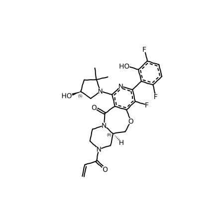 C=CC(=O)N1CCN2C(=O)c3c(N4C[C@@H](O)CC4(C)C)nc(-c4c(F)ccc(F)c4O)c(F)c3OC[C@H]2C1